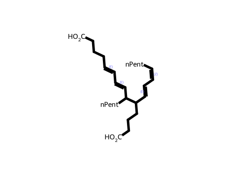 CCCCC/C=C\C=C\C(CCCC(=O)O)C(/C=C/C=C/CCCC(=O)O)CCCCC